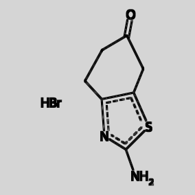 Br.Nc1nc2c(s1)CC(=O)CC2